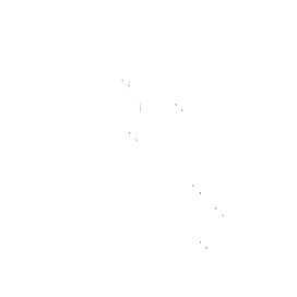 CN(C)P(N(C)C)[N+](C)(C)[O-].c1ccc2[nH]nnc2c1